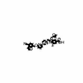 N#Cc1ccc(COc2cccc(N3C=NN(Cc4nc5c(F)cc(C(=O)O)cc5n4C[C@@H]4CCO4)CC3)n2)c2occc12